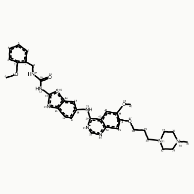 COc1ccccc1CNC(=O)Nc1nc2ccc(Nc3ncnc4cc(OCCCN5CCN(C)CC5)c(OC)cc34)cc2s1